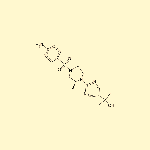 C[C@H]1CN(S(=O)(=O)c2ccc(N)nc2)CCN1c1ncc(C(C)(C)O)cn1